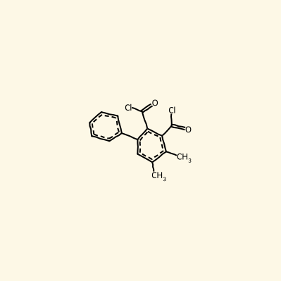 Cc1cc(-c2ccccc2)c(C(=O)Cl)c(C(=O)Cl)c1C